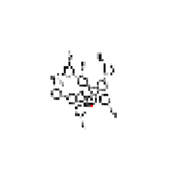 Cc1cc(C#N)cc(-c2cc(-n3c4cc(-c5cccc(C#N)c5)ccc4c4ccc(-c5cccc(C#N)c5)cc43)c(-n3c4cc(-c5cccc(C#N)c5)ccc4c4ccc(-c5cccc(C#N)c5)cc43)cc2C#N)c1